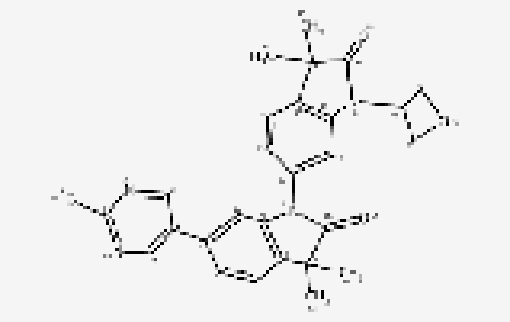 Cc1ncc(-c2ccc3c(c2)N(c2ccc4c(c2)N(C2COC2)C(=O)C4(C)C)C(=O)C3(C)C)cn1